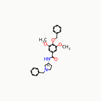 COc1cc(C(=O)N[C@@H]2CCN(Cc3ccccc3)C2)cc(OC)c1OCc1ccccc1